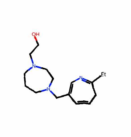 CCC1=NC=C(CN2CCCN(CCO)CC2)C=CC1